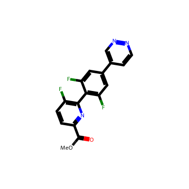 COC(=O)c1ccc(F)c(-c2c(F)cc(-c3ccnnc3)cc2F)n1